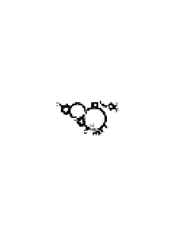 CC1CCC[C@@H](C(=O)N2CC(F)(F)C2)C2CCC2CN2CCCCc3cc(Cl)ccc3COc3ccc(cc32)C(=O)NS(=O)(=O)C1C